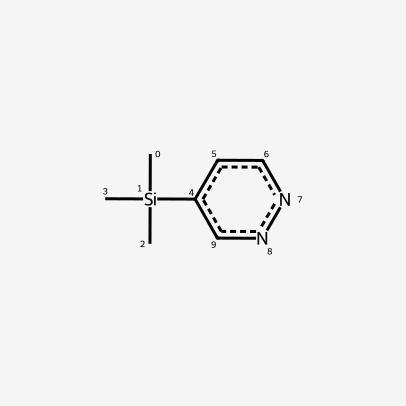 C[Si](C)(C)c1ccnnc1